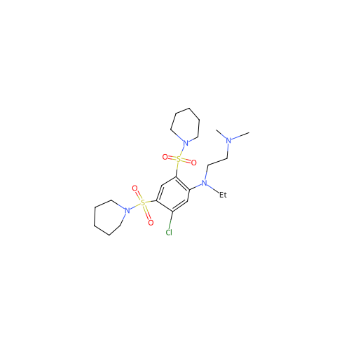 CCN(CCN(C)C)c1cc(Cl)c(S(=O)(=O)N2CCCCC2)cc1S(=O)(=O)N1CCCCC1